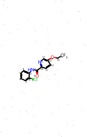 O=C(Nc1ccccc1Cl)c1ccc(OCC(F)(F)F)cn1